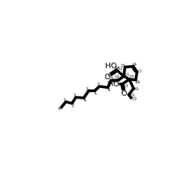 CCCCCCCCCCCC1(C(=O)O)CC=CCC1(CCC)C(=O)O